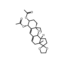 CC(=O)OC1CC[C@@]23CC[C@@]4(O2)C(=CCC2(C)[C@H]4CCC24OCCO4)C=C3[C@H]1OC(C)=O